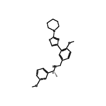 COc1cccc([C@@H](C)NCc2ccc(OC)c(-c3csc(N4CCCCC4)n3)c2)c1